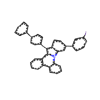 Ic1cccc(-c2ccc3c(-c4ccc(-c5ccccc5)cc4)c4c5ccccc5c5ccccc5n4c3c2)c1